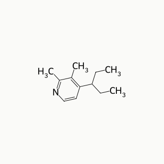 CCC(CC)c1ccnc(C)c1C